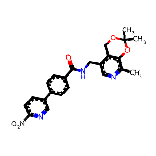 Cc1ncc(CNC(=O)c2ccc(-c3ccc([N+](=O)[O-])nc3)cc2)c2c1OC(C)(C)OC2